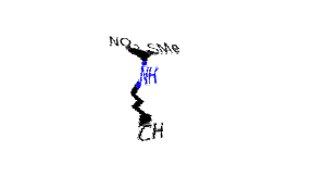 C#CCCCN/C(=C/[N+](=O)[O-])SC